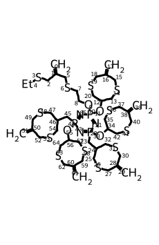 C=C(CSCC)CSCCOP1(OC2CSCC(=C)CSC2)=NP(CC2CSCC(=C)CSC2)(OC2CSCC(=C)CSC2)=NP(CC2CSCC(=C)CSC2)(OC2CSCC(=C)CSC2)=N1